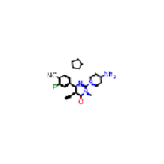 C#Cc1c(-c2ccc(C#N)c(F)c2)nc(N2CCC(N)CC2)n(C)c1=O.C1CCCC1